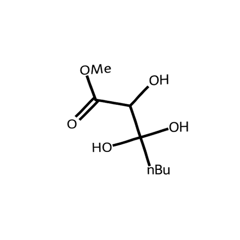 CCCCC(O)(O)C(O)C(=O)OC